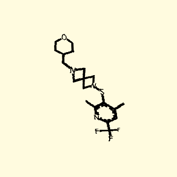 Cc1cc(C(F)(F)F)nc(C)c1SN1CC2(CN(CC3CCOCC3)C2)C1